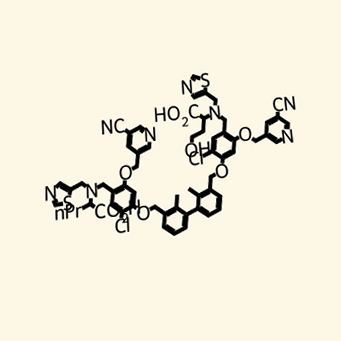 CCCC(C(=O)O)N(Cc1cncs1)Cc1cc(Cl)c(OCc2cccc(-c3cccc(COc4cc(OCc5cncc(C#N)c5)c(CN(Cc5cncs5)C(CCO)C(=O)O)cc4Cl)c3C)c2C)cc1OCc1cncc(C#N)c1